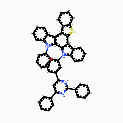 c1ccc(-c2cc(-c3cccc(-n4c5ccccc5c5c6sc7ccccc7c6c6c7ccccc7n(-c7ccccc7)c6c54)c3)nc(-c3ccccc3)n2)cc1